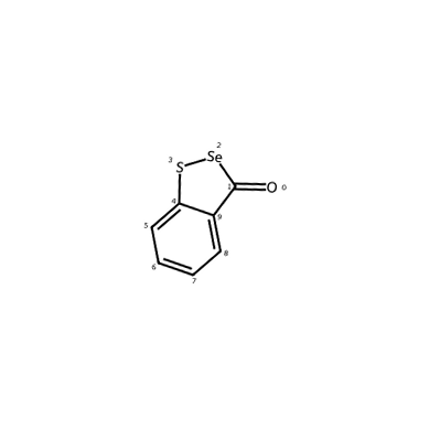 O=c1[se]sc2ccccc12